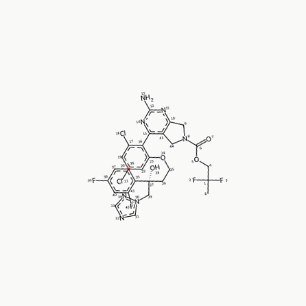 CC(F)(F)COC(=O)N1Cc2nc(N)nc(-c3c(Cl)cc(Cl)cc3OCC[C@@](O)(Cn3cncn3)c3ccc(F)cc3F)c2C1